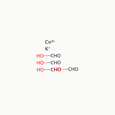 O=[C-]O.O=[C-]O.O=[C-]O.O=[C-]O.[Co+3].[K+]